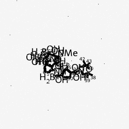 BC(O)(Nc1cccc(C)c1C(B)(O)N(C=O)C(O)(C(=O)NC)C(B)(O)C(B)(O)C=O)c1ccc(C(O)(O)N2CC(C)(C)OC(C)(C)C2)cc1F